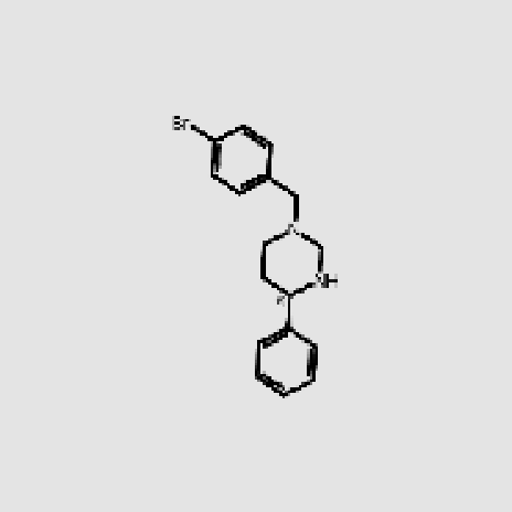 Brc1ccc(CN2CC[C@H](c3ccccc3)NC2)cc1